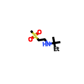 CCC(C)(C)NCCS(C)(=O)=O